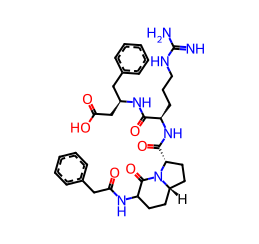 N=C(N)NCCC[C@@H](NC(=O)[C@@H]1CC[C@@H]2CCC(NC(=O)Cc3ccccc3)C(=O)N21)C(=O)N[C@@H](CC(=O)O)Cc1ccccc1